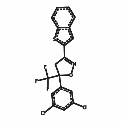 FC(F)(F)C1(c2cc(Cl)cc(Cl)c2)CC(c2cc3ccccc3s2)=NO1